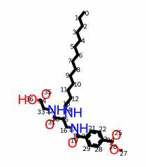 CCCCCCCCCCCCCCNC(CNC(=O)c1ccc(C(=O)OC)cc1)C(=O)NCC(=O)O